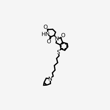 O=C1CCC(N2Cc3c(SCCCCCCCN4CC5CC5C4)cccc3C2=O)C(=O)N1